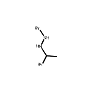 CC(C)NNC(C)C(C)C